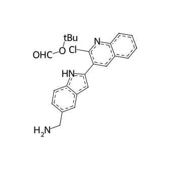 CC(C)(C)OC=O.NCc1ccc2[nH]c(-c3cc4ccccc4nc3Cl)cc2c1